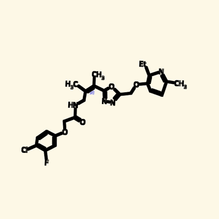 CCc1nc(C)ccc1OCc1nnc(/C(C)=C(/C)CNC(=O)COc2ccc(Cl)c(F)c2)o1